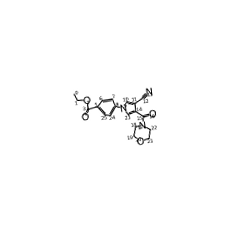 CCOC(=O)c1ccc(-n2cc(C#N)c(C(=O)N3CCOCC3)c2)cc1